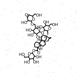 C=C1C[C@@]23CC[C@H]4[C@@](C)(CCC[C@@]4(C)C(=O)OC4OC(CO)C(O)C(O)C4O)[C@@H]2CC[C@]1(CC1OC(CO)C(O)C(O)C1OC1OC(COC2OC(CO)C4OC4C2O)C(O)C(O)C1O)C3